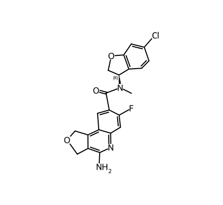 CN(C(=O)c1cc2c3c(c(N)nc2cc1F)COC3)[C@H]1COc2cc(Cl)ccc21